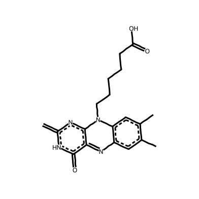 C=c1nc2c(c(=O)[nH]1)=Nc1cc(C)c(C)cc1N2CCCCCC(=O)O